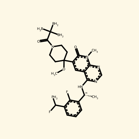 BC(B)(B)C(=O)N1CCC(OC)(c2cc3c(N[C@H](C)c4cccc(C(F)P)c4F)ncnc3n(C)c2=O)CC1